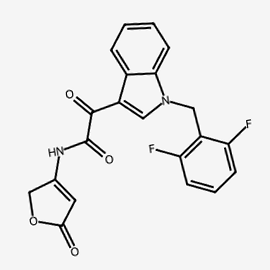 O=C1C=C(NC(=O)C(=O)c2cn(Cc3c(F)cccc3F)c3ccccc23)CO1